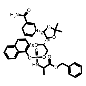 COC(COP(=O)(NC(C)C(=O)OCc1ccccc1)Oc1cccc2ccccc12)[C@H]1OC(C)(C)O[C@H]1N1C=CCC(C(N)=O)=C1